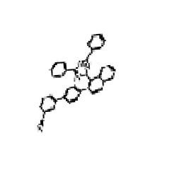 N#Cc1cccc(-c2ccc(-c3ccc4ccccc4c3C3N=C(c4ccccc4)N4C(c5ccccc5)N34)cc2)c1